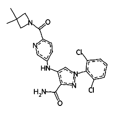 CC1(C)CN(C(=O)c2ccc(Nc3cn(-c4c(Cl)cccc4Cl)nc3C(N)=O)cn2)C1